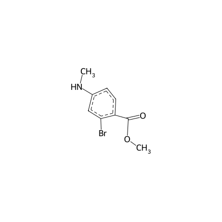 CNc1ccc(C(=O)OC)c(Br)c1